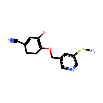 CSc1cncc(COC2=C(Br)C=C(C#N)[CH]C2)c1